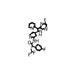 O=C(Nc1cc(-c2[nH]c3ncc(F)nc3c2-c2ccccn2)ccn1)[C@@H](CC(F)F)c1ccc(F)cc1